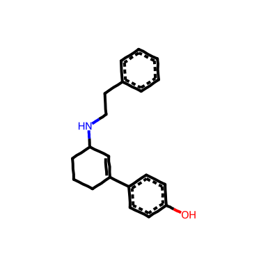 Oc1ccc(C2=CC(NCCc3ccccc3)CCC2)cc1